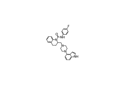 O=C(Nc1ccc(F)cc1)N1c2ccccc2CCC1CN1CCN(c2cccc3[nH]ccc23)CC1